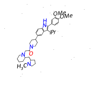 COc1ccc(-c2[nH]c3ccc(C4CCN(C(=O)CN5CCCCC5CC5CCCN5C)CC4)cc3c2C(C)C)cc1OC